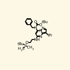 CC(C)c1cnn2c(N(Cc3ccccc3)C(=O)OC(C)(C)C)cc(NCCO[Si](C)(C)C(C)(C)C)nc12